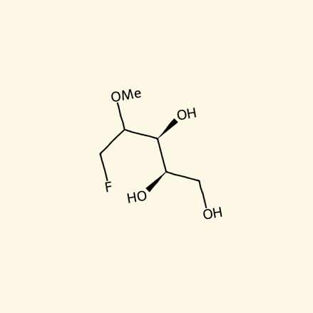 COC(CF)[C@@H](O)[C@H](O)CO